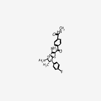 CNC(=O)c1ccc(C(=O)c2sc(N(c3ccc(F)cc3)[C@H](C)C(N)=O)nc2N)cc1